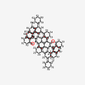 Cc1cc(C)c(B2c3ccccc3Oc3c2c(-c2c(-c4ccccc4)cc(-c4ccccc4)cc2-c2ccccc2)c2ccc4c5c(c(-c6c(-c7ccccc7)cc(-c7ccccc7)cc6-c6ccccc6)c6ccc3c2c46)B(c2c(C)cc(C)cc2C)c2ccccc2O5)c(C)c1